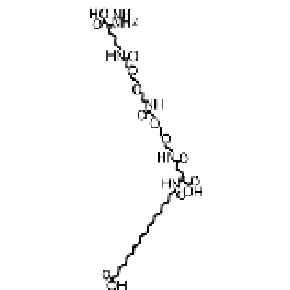 NN[C@@H](CCCCNC(=O)COCCOCCNC(=O)COCCOCCNC(=O)CC[C@H](NC(=O)CCCCCCCCCCCCCCCCC(=O)O)C(=O)O)C(=O)O